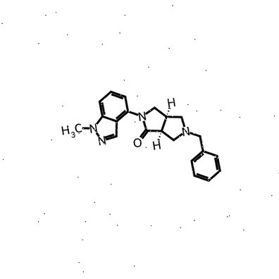 Cn1ncc2c(N3C[C@H]4CN(Cc5ccccc5)C[C@H]4C3=O)cccc21